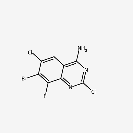 Nc1nc(Cl)nc2c(F)c(Br)c(Cl)cc12